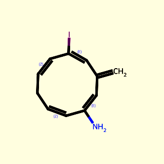 C=C1/C=C(N)\C=C/C/C=C\C(I)=C/1